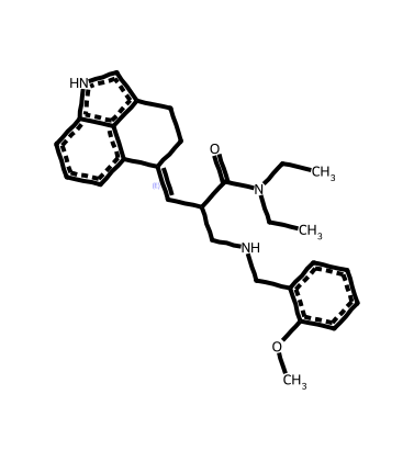 CCN(CC)C(=O)C(/C=C1\CCc2c[nH]c3cccc1c23)CNCc1ccccc1OC